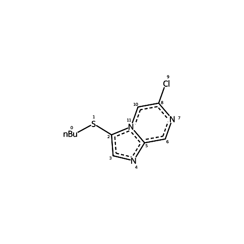 CCCCSc1cnc2cnc(Cl)cn12